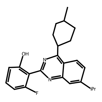 CC1CCC(c2nc(-c3c(O)cccc3F)nc3cc(C(C)C)ccc23)CC1